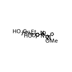 CCc1cc(-c2noc(-c3cc(OC)nc(C4CCCC4)c3)n2)cc(C)c1OC[C@@H](O)CNCC(=O)O